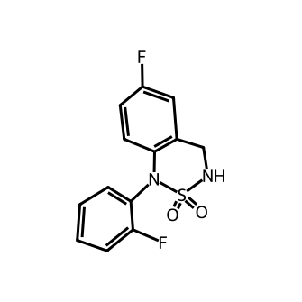 O=S1(=O)NCc2cc(F)ccc2N1c1ccccc1F